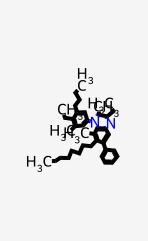 CCCCCCCCc1c(C)cc(N=C(CC)C(C)=Nc2cc(C)c(CC)c(CCCC)c2)cc1-c1ccccc1